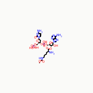 COC(=O)NCCCC[C@H](N)C(=O)O[C@H]1[C@@H](O)[C@H](n2cnc3c(N)ncnc32)O[C@@H]1COP(=O)(O)O[C@H]1C[C@H](n2ccc(N)nc2=O)O[C@@H]1COP(=O)(O)O